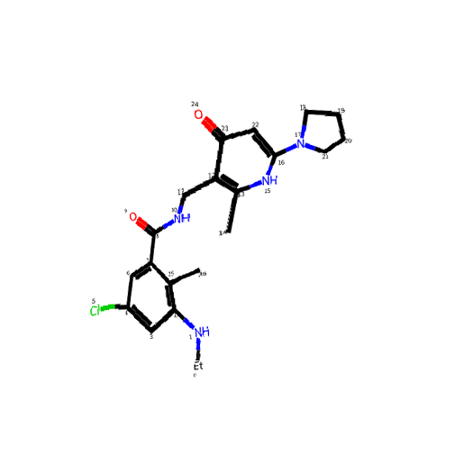 CCNc1cc(Cl)cc(C(=O)NCc2c(C)[nH]c(N3CCCC3)cc2=O)c1C